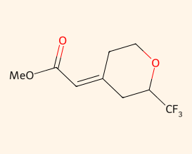 COC(=O)/C=C1\CCOC(C(F)(F)F)C1